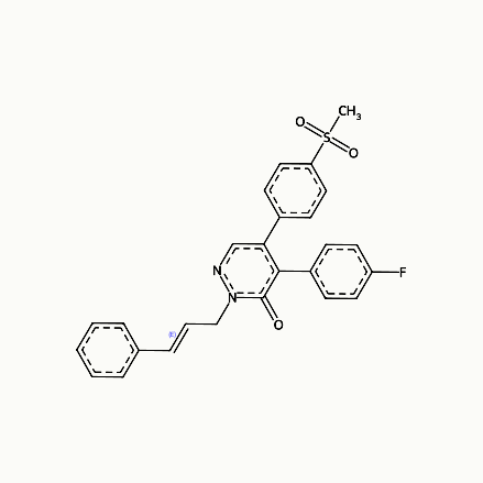 CS(=O)(=O)c1ccc(-c2cnn(C/C=C/c3ccccc3)c(=O)c2-c2ccc(F)cc2)cc1